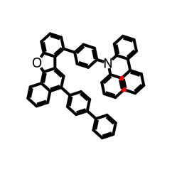 c1ccc(-c2ccc(-c3cc4c(oc5cccc(-c6ccc(N(c7ccccc7)c7ccccc7-c7ccccc7)cc6)c54)c4ccccc34)cc2)cc1